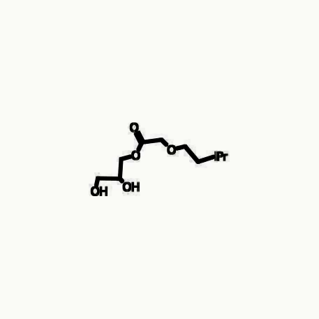 CC(C)CCOCC(=O)OCC(O)CO